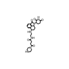 O=C(CCC(=O)N1CCNCC1)NCCNC1CCC2c3c(cccc31)C(=O)N2C1CCC(=O)NC1=O